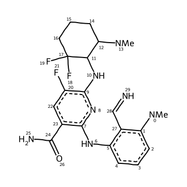 CNc1cccc(Nc2nc(NC3C(NC)CCCC3(F)F)c(F)cc2C(N)=O)c1C=N